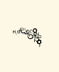 Cc1cccc2nc(NC(=O)c3ccc(F)cc3F)n(C3CCCCN(C(=O)/C=C/CN(C)C)C3)c12